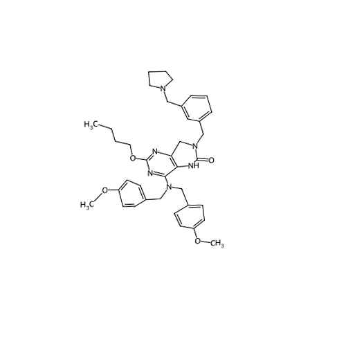 CCCCOc1nc2c(c(N(Cc3ccc(OC)cc3)Cc3ccc(OC)cc3)n1)NC(=O)N(Cc1cccc(CN3CCCC3)c1)C2